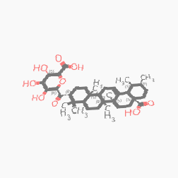 C[C@@H]1CC[C@]2(C(=O)O)CC[C@]3(C)C(=CCC4[C@@]5(C)CC[C@@H](C(=O)[C@@H]6OC(C(=O)O)[C@@H](O)C(O)C6O)C(C)(C)C5CC[C@]43C)C2[C@H]1C